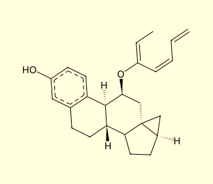 C=C/C=C\C(=C/C)O[C@H]1C[C@]23C[C@H]2CCC3[C@@H]2CCc3cc(O)ccc3[C@@H]12